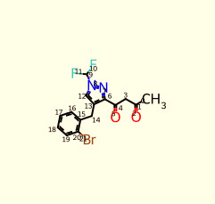 CC(=O)CC(=O)c1nn(C(F)F)cc1Cc1ccccc1Br